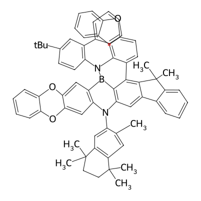 Cc1cc2c(cc1N1c3cc4c(cc3B3c5c1cc1c(c5-c5ccc6oc7ccccc7c6c5N3c3ccc(C(C)(C)C)cc3-c3ccccc3)C(C)(C)c3ccccc3-1)Oc1ccccc1O4)C(C)(C)CCC2(C)C